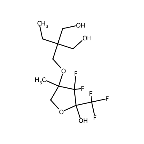 CCC(CO)(CO)COC1(C)COC(O)(C(F)(F)F)C1(F)F